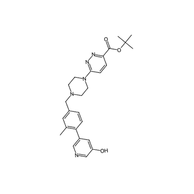 Cc1cc(CN2CCN(c3ccc(C(=O)OC(C)(C)C)nn3)CC2)ccc1-c1cncc(O)c1